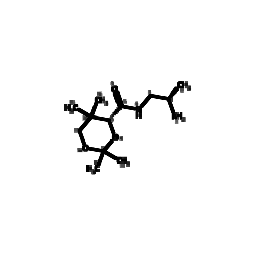 C[C@@H](N)CNC(=O)[C@@H]1OC(C)(C)OCC1(C)C